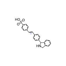 O=S(=O)(O)c1ccc(/C=C/c2ccc(C3NCc4ccccc43)cc2)cc1